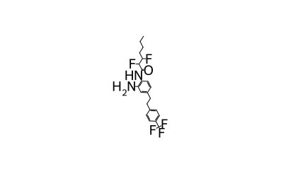 CCCCC(F)C(F)C(=O)Nc1ccc(CCc2ccc(C(F)(F)F)cc2)cc1N